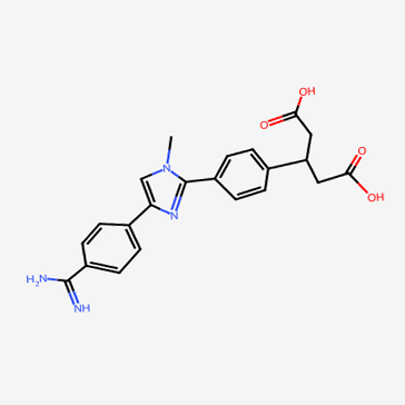 Cn1cc(-c2ccc(C(=N)N)cc2)nc1-c1ccc(C(CC(=O)O)CC(=O)O)cc1